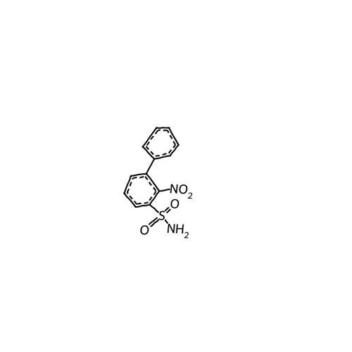 NS(=O)(=O)c1cccc(-c2ccccc2)c1[N+](=O)[O-]